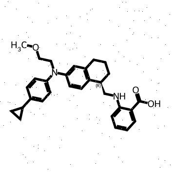 COCCN(c1ccc(C2CC2)cc1)c1ccc2c(c1)CCC[C@H]2CNc1ccccc1C(=O)O